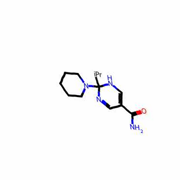 CC(C)C1(N2CCCCC2)N=CC(C(N)=O)=CN1